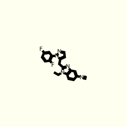 C#[N+]c1ccc2c(c1)nc(Cc1ccnn1-c1cc(F)ccc1F)n2CC